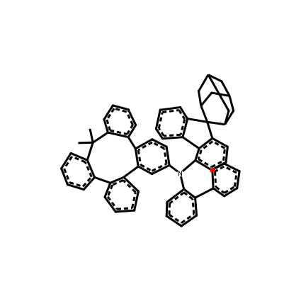 CC1(C)c2ccccc2-c2ccccc2-c2cc(N(c3ccccc3-c3ccccc3)c3cccc4c3-c3ccccc3C43C4CC5CC(C4)CC3C5)ccc2-c2ccccc21